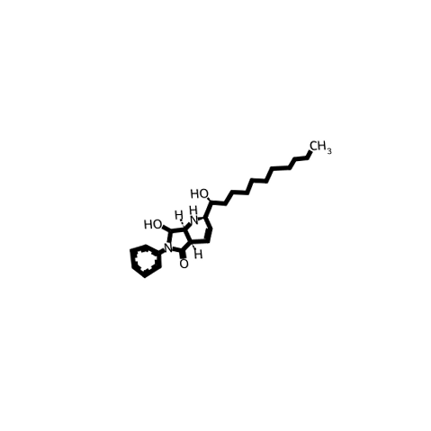 CCCCCCCCCC[C@@H](O)[C@H]1C=C[C@H]2C(=O)N(c3ccccc3)C(O)[C@H]2N1